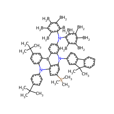 Bc1c(B)c(B)c(N(c2ccc3c(c2)N(c2ccc4c(c2)C(C)(C)c2ccccc2-4)c2cc(S(C)(C)C)cc4c2B3c2cc(C(C)(C)C)ccc2N4c2ccc(C(C)(C)C)cc2)c2c(B)c(B)c(B)c(B)c2B)c(B)c1B